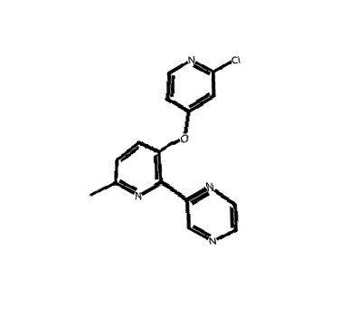 Cc1ccc(Oc2ccnc(Cl)c2)c(-c2cnccn2)n1